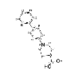 O=C(O)C1CCN(c2ccc(-c3ccccc3)cc2)CC1